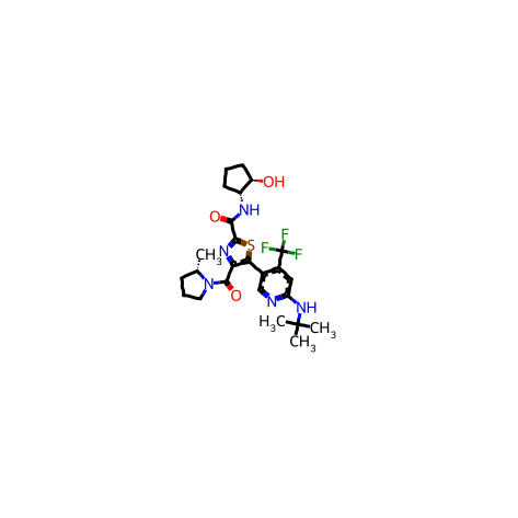 C[C@H]1CCCN1C(=O)c1nc(C(=O)N[C@@H]2CCC[C@H]2O)sc1-c1cnc(NC(C)(C)C)cc1C(F)(F)F